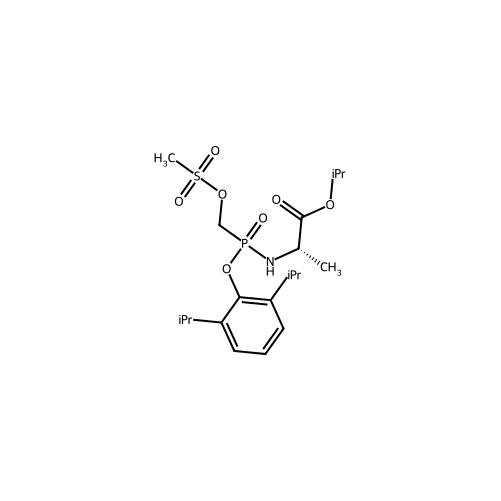 CC(C)OC(=O)[C@H](C)NP(=O)(COS(C)(=O)=O)Oc1c(C(C)C)cccc1C(C)C